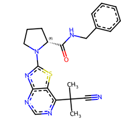 CC(C)(C#N)c1ncnc2nc(N3CCC[C@@H]3C(=O)NCc3ccccc3)sc12